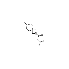 CC1CCC2(CC1)CN(C(=O)CC(F)F)C2